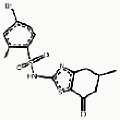 Cc1cc(Br)ccc1S(=O)(=O)Nc1nc2c(s1)C(=O)CC(C)C2